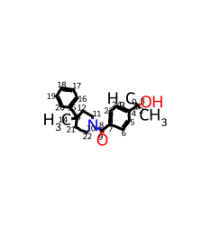 CC(C)(O)c1ccc(C(=O)N2CCC(C)(c3ccccc3)CC2)cc1